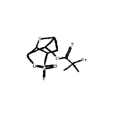 CCC(C)(C)C(=O)OC1C2CC3C(O2)C1OS3(=O)=O